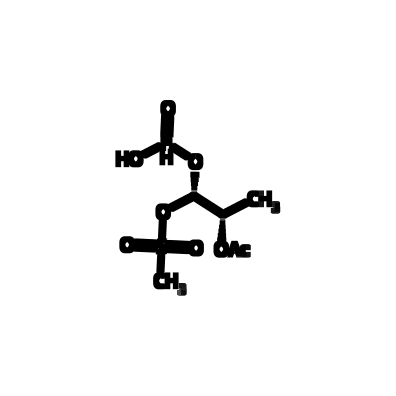 CC(=O)O[C@@H](C)[C@@H](O[PH](=O)O)OS(C)(=O)=O